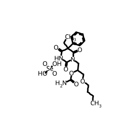 CCCCOCC(CN1C(=O)NC(=O)C(CC)(c2ccccc2)C1=O)OC(N)=O.O=[Se](=O)(O)O